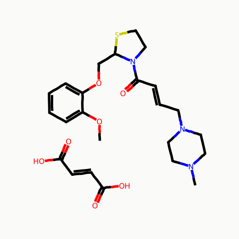 COc1ccccc1OCC1SCCN1C(=O)C=CCN1CCN(C)CC1.O=C(O)C=CC(=O)O